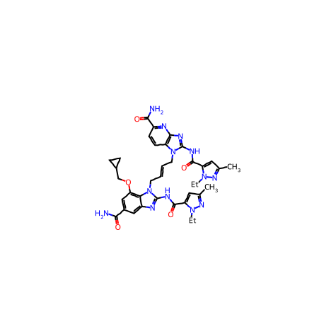 CCn1nc(C)cc1C(=O)Nc1nc2nc(C(N)=O)ccc2n1C/C=C/Cn1c(NC(=O)c2cc(C)nn2CC)nc2cc(C(N)=O)cc(OCC3CC3)c21